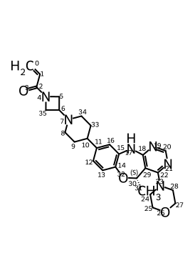 C=CC(=O)N1CC(N2CCC(c3ccc4c(c3)Nc3ncnc(N5CCOCC5)c3[C@H](C)O4)CC2)C1